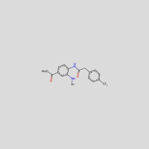 COC(=O)c1ccc(NC(=O)Cc2ccc(C(F)(F)F)cc2)c(NC(C)C)c1